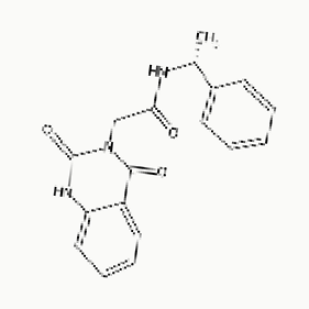 C[C@@H](NC(=O)Cn1c(=O)[nH]c2ccccc2c1=O)c1ccccc1